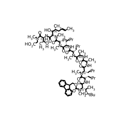 CC=CC[C@@H](C)[C@@H](O)[C@@H](C(=O)N[C@H](C(=O)N(C)CC(=O)O)[C@@H](C)O)N(C)C(=O)[C@H](C(C)C)N(C)C(=O)[C@H](CC(C)C)NC(=O)[C@H](CC(C)C)N(C)C(=O)[C@@H](C)NC(=O)[C@H](C)NC(=O)[C@H](CC(C)C)N(C)C(=O)[C@H](CC(C)C)NC(=O)[C@H](C(C)OC(C)(C)C)N(C)C(=O)OCC1c2ccccc2-c2ccccc21